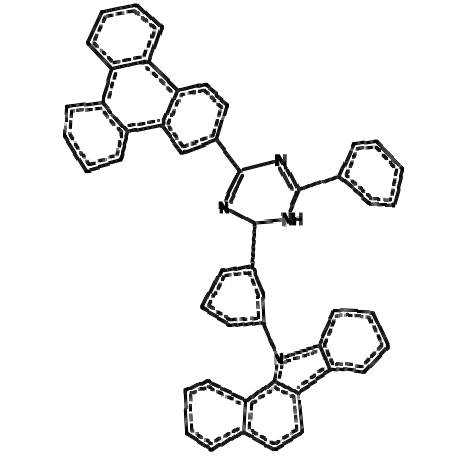 c1ccc(C2=NC(c3ccc4c5ccccc5c5ccccc5c4c3)=NC(c3cccc(-n4c5ccccc5c5ccc6ccccc6c54)c3)N2)cc1